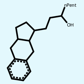 CCCCCC(O)CCC1CCC2Cc3ccccc3CC12